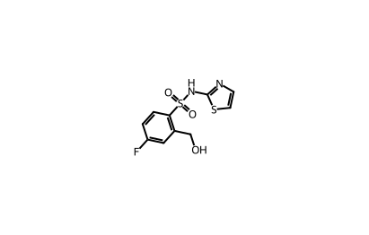 O=S(=O)(Nc1nccs1)c1ccc(F)cc1CO